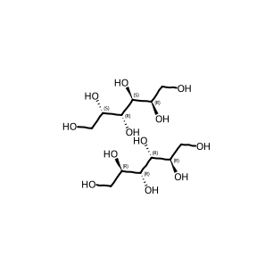 OC[C@@H](O)[C@@H](O)[C@H](O)[C@H](O)CO.OC[C@@H](O)[C@H](O)[C@H](O)[C@@H](O)CO